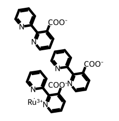 O=C([O-])c1cccnc1-c1ccccn1.O=C([O-])c1cccnc1-c1ccccn1.O=C([O-])c1cccnc1-c1ccccn1.[Ru+3]